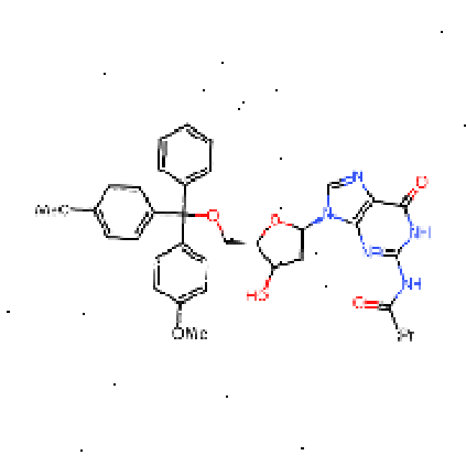 COc1ccc(C(OC[C@H]2O[C@@H](n3cnc4c(=O)[nH]c(NC(=O)C(C)C)nc43)CC2O)(c2ccccc2)c2ccc(OC)cc2)cc1